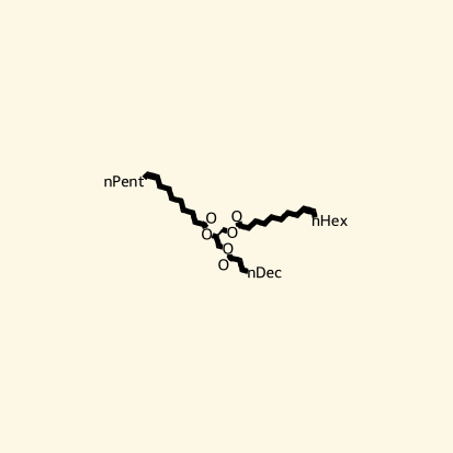 CCCCC/C=C\CCCCCCCC(=O)O[C@@H](COC(=O)CCCCCCC/C=C\CCCCCC)COC(=O)CCCCCCCCCCCC